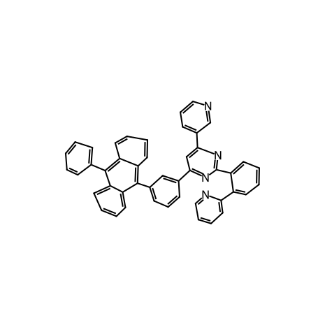 c1ccc(-c2c3ccccc3c(-c3cccc(-c4cc(-c5cccnc5)nc(-c5ccccc5-c5ccccn5)n4)c3)c3ccccc23)cc1